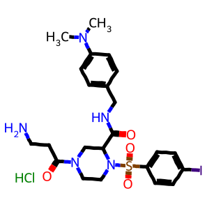 CN(C)c1ccc(CNC(=O)C2CN(C(=O)CCN)CCN2S(=O)(=O)c2ccc(I)cc2)cc1.Cl